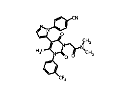 Cc1c(-c2ccnn2-c2ccc(C#N)cc2)c(=O)n(CC(=O)N(C)C)c(=O)n1-c1cccc(C(F)(F)F)c1